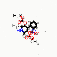 COC(=O)OC1C(C)NC(C)C(OC(=O)OC)C1c1ccccc1[N+](=O)[O-]